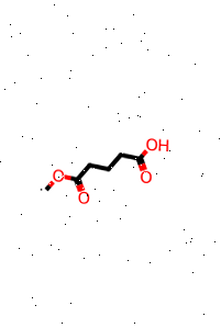 [CH2]OC(=O)CCCC(=O)O